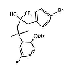 COc1ccc(F)cc1C(C)(C)CC(O)(Cc1ccc(Br)cc1)C(F)(F)F